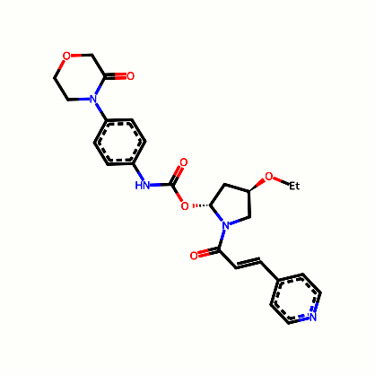 CCO[C@@H]1C[C@@H](OC(=O)Nc2ccc(N3CCOCC3=O)cc2)N(C(=O)/C=C/c2ccncc2)C1